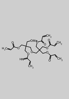 C=CC(=N)OCC(COC)(COCC(COC(=O)C=C)(COC(=O)C=C)COC(=O)C=C)COC(=O)C=C